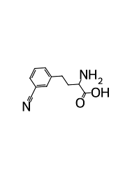 N#Cc1cccc(CCC(N)C(=O)O)c1